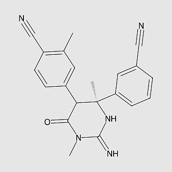 Cc1cc(C2C(=O)N(C)C(=N)N[C@]2(C)c2cccc(C#N)c2)ccc1C#N